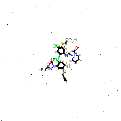 C#CCOc1cc(-n2nc(C(C)(C)C)oc2=O)c(Cl)cc1Cl.O=C(O)CSc1cc(N=c2sc(=O)n3n2CCCC3)c(F)cc1Cl